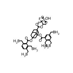 BCc1cc(CB)c(CB)c(C(=O)OC23CC4CC(OC(=O)c5c(CB)ccc(CB)c5CB)(C2)CC(C(=O)OC(C)C(F)(F)S(=O)(=O)O)(C4)C3)c1